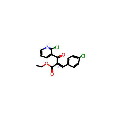 CCOC(=O)/C(=C/c1ccc(Cl)cc1)C(=O)c1cccnc1Cl